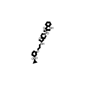 O=c1c(S(=O)(=O)N2CCC3(CC2)C[C@@H](NCCCOc2cccc(S(=O)(=O)C4CC4)c2)CO3)c[nH]c2ccccc12